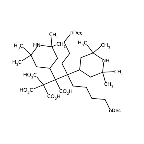 CCCCCCCCCCCCCCC(CCCCCCCCCCCCC)(C1CC(C)(C)NC(C)(C)C1)C(C(=O)O)(C1CC(C)(C)NC(C)(C)C1)C(C(=O)O)(C(=O)O)C(=O)O